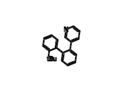 CC(C)(C)c1ccccc1-c1ccccc1-c1cccnc1